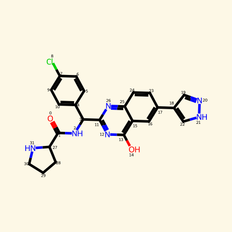 O=C(NC(c1ccc(Cl)cc1)c1nc(O)c2cc(-c3cn[nH]c3)ccc2n1)C1CCCN1